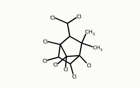 CC1(C)C(C(Cl)Cl)C2(Cl)C(Cl)C(Cl)C1(Cl)C2(Cl)Cl